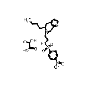 CCCCC1Cc2ccsc2CN1CCNS(=O)(=O)c1ccc([N+](=O)[O-])cc1.O=C(O)C(=O)O